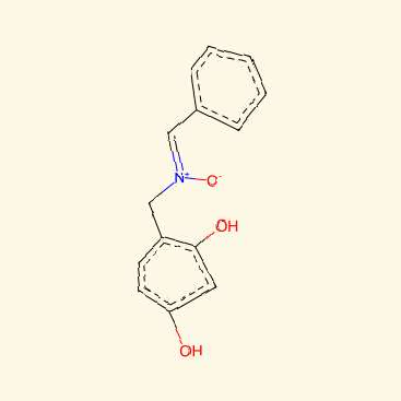 [O-]/[N+](=C\c1ccccc1)Cc1ccc(O)cc1O